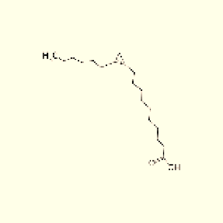 CCCCCCC1=C(CCCCCCCCCC(=O)O)C1